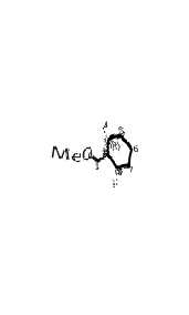 COC[C@H]1[C@H](C)CCC[C@@H]1C